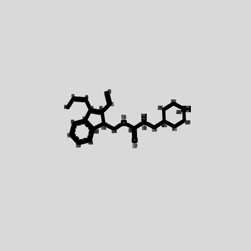 C=CC1=C(/C=C\C)c2ccccc2C1COC(=O)NCC1CCNCC1